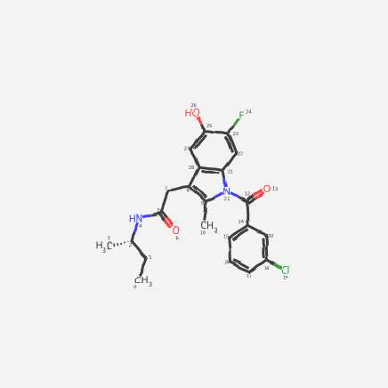 CC[C@H](C)NC(=O)Cc1c(C)n(C(=O)c2cccc(Cl)c2)c2cc(F)c(O)cc12